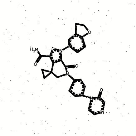 NC(=O)c1nn(-c2ccc3c(c2)CCO3)c2c1C1(CC1)CN(c1ccc(-n3ccncc3=O)cc1)C2=O